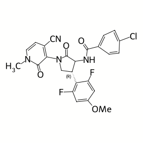 COc1cc(F)c([C@@H]2CN(c3c(C#N)ccn(C)c3=O)C(=O)C2NC(=O)c2ccc(Cl)cc2)c(F)c1